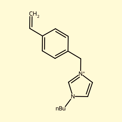 C=Cc1ccc(C[n+]2ccn(CCCC)c2)cc1